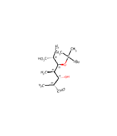 CCCC[Si](C)(C)O[C@@H]([C@H](C)[C@H](O)[C@@H](C)C=O)[C@@H](C)C(=O)O